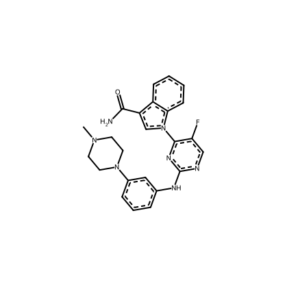 CN1CCN(c2cccc(Nc3ncc(F)c(-n4cc(C(N)=O)c5ccccc54)n3)c2)CC1